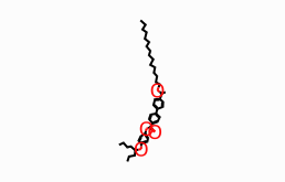 CCCCCCCCCCCCCCCCOC(C)c1ccc(-c2ccc(C(=O)Oc3ccc(OC(CCC)CCCC)cc3)cc2)cc1